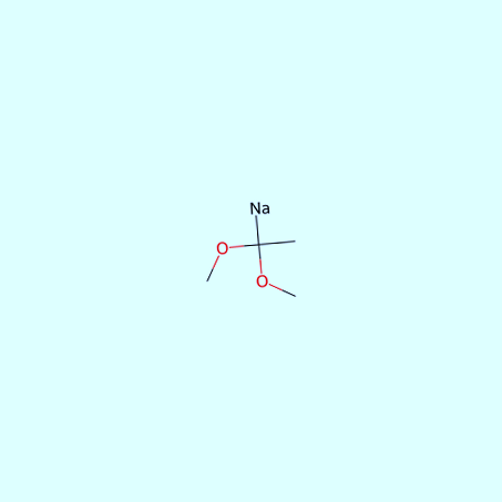 CO[C](C)([Na])OC